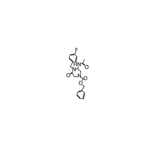 CC(=O)NC1CN(C(=O)OCc2ccccc2)CC(=O)N1Cc1ccc(F)cc1